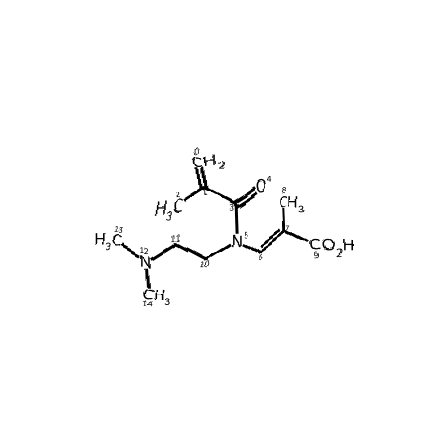 C=C(C)C(=O)N(C=C(C)C(=O)O)CCN(C)C